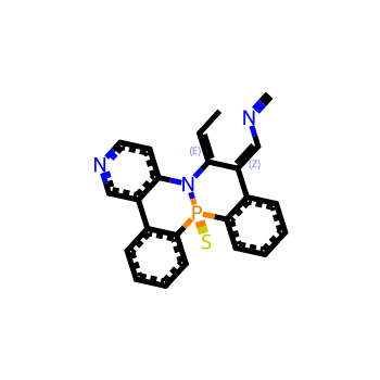 C=N/C=C1\C(=C/C)N2c3ccncc3-c3ccccc3P2(=S)c2ccccc21